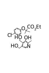 CCOC(=O)C(C)(C)Oc1ccc(Cl)cc1.Cc1ncc(CO)c(CO)c1O